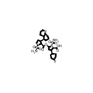 NS(=O)(=O)n1ccc(-c2cccc3ncccc23)c1C(=O)Oc1cc(-c2ccc(F)cc2)c(C(=O)O)n1S(N)(=O)=O